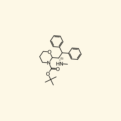 CN[C@@H](C(c1ccccc1)c1ccccc1)C1OCCCN1C(=O)OC(C)(C)C